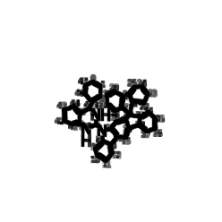 c1ccc(C2NC(n3c4ccccc4c4cc5c(cc43)C(c3ccccc3)(c3ccccc3)c3ccccc3-5)Nc3ccccc32)cc1